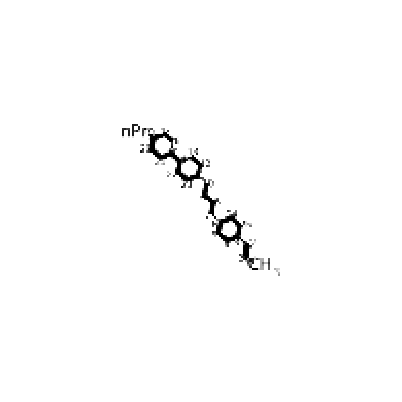 CC=C[C@H]1CC[C@H](CCCC[C@H]2CC[C@H]([C@H]3CC[C@H](CCC)CC3)CC2)CC1